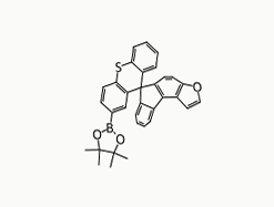 CC1(C)OB(c2ccc3c(c2)C2(c4ccccc4S3)c3ccccc3-c3c2ccc2occc32)OC1(C)C